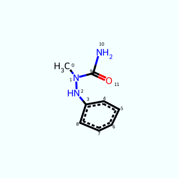 CN(Nc1ccccc1)C(N)=O